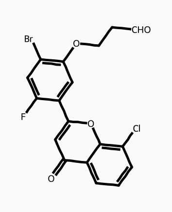 O=CCCOc1cc(-c2cc(=O)c3cccc(Cl)c3o2)c(F)cc1Br